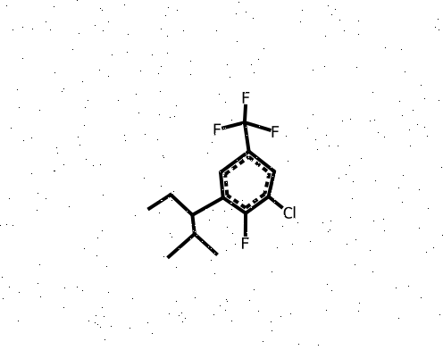 CCC(c1cc(C(F)(F)F)cc(Cl)c1F)C(C)C